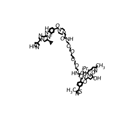 Cc1cc([C@H](C(=O)N2C[C@H](O)CC2C(=O)N[C@@H](CC(=O)NCCOCCOCCOCCOCCNC(=O)CN2CCN(C(=O)c3ccc(Nc4nc(C5CC5)cn5c(-c6cn[nH]c6)cnc45)c(F)c3)CC2)c2ccc(-c3scnc3C)cc2)C(C)C)on1